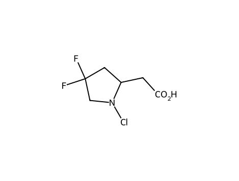 O=C(O)CC1CC(F)(F)CN1Cl